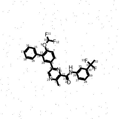 Cc1ncc(-c2ccc(OC(F)F)c(-c3ccccc3)c2)nc1C(=O)Nc1cccc(C(C)(F)F)c1